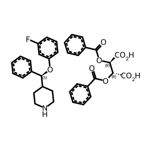 Fc1cccc(O[C@H](c2ccccc2)C2CCNCC2)c1.O=C(O[C@@H](C(=O)O)[C@@H](OC(=O)c1ccccc1)C(=O)O)c1ccccc1